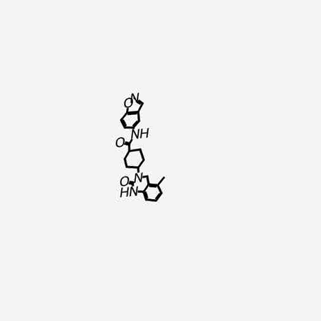 Cc1cccc2c1CN(C1CCC(C(=O)Nc3ccc4oncc4c3)CC1)C(=O)N2